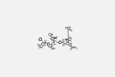 CC[C@H](C)[C@H](NC(=O)[C@H]1CCCCN1C)C(=O)N(CCc1ccc(NC(=O)[C@H](CCCNC(N)=O)NC(=O)[C@@H](NC(=O)CCCCCN2C(=O)C=CC2=O)C(C)C)cc1)[C@H](C[C@@H](OC(=O)NC)c1nc(C(=O)N[C@@H](Cc2ccccc2)C[C@@H](C)C(=O)O)cs1)C(C)C